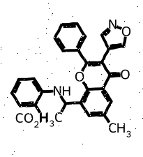 Cc1cc(C(C)Nc2ccccc2C(=O)O)c2oc(-c3ccccc3)c(-c3cnoc3)c(=O)c2c1